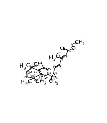 CCOC(=O)/C=C(C)/C=C/C1C[C@]1(C)c1ccc2c(c1)C(C)(C)CCC2(C)C